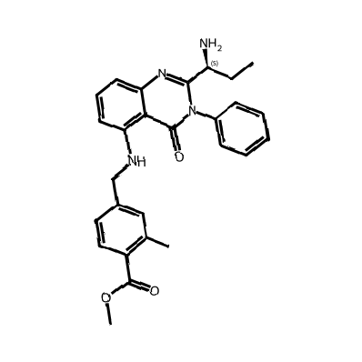 CC[C@H](N)c1nc2cccc(NCc3ccc(C(=O)OC)c(C)c3)c2c(=O)n1-c1ccccc1